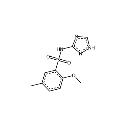 COc1ccc(C)cc1S(=O)(=O)Nc1nc[nH]n1